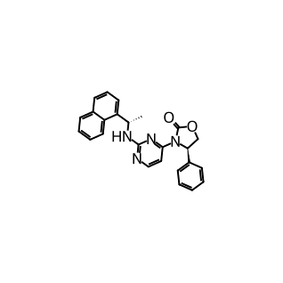 C[C@H](Nc1nccc(N2C(=O)OC[C@H]2c2ccccc2)n1)c1cccc2ccccc12